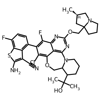 C[C@H]1CN2CCCC2(COc2nc3c4c(c(Cl)c(-c5ccc(F)c6sc(N)c(C#N)c56)c(F)c4n2)OCC2C(C(C)(C)O)CCCN32)C1